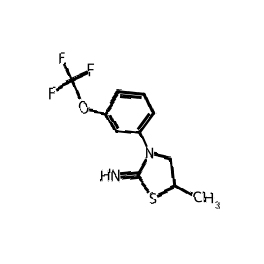 CC1CN(c2cccc(OC(F)(F)F)c2)C(=N)S1